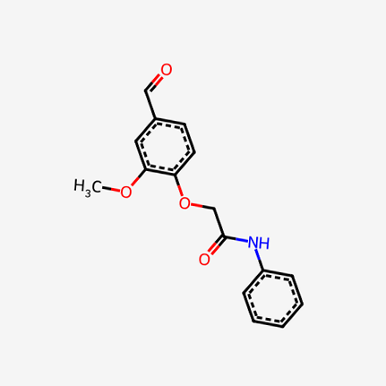 COc1cc(C=O)ccc1OCC(=O)Nc1ccccc1